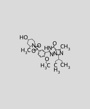 CCOc1ccc(S(=O)(=O)N2CCC(O)CC2C)cc1-c1nn2c(C(CC)CC)nc(C)c2c(=O)[nH]1